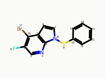 Fc1cnc2c(ccn2Sc2ccccc2)c1Br